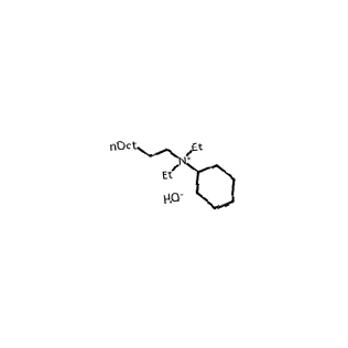 CCCCCCCCCC[N+](CC)(CC)C1CCCCC1.[OH-]